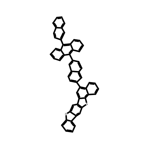 c1ccc2cc(-c3c4ccccc4c(-c4ccc5cc(-c6cc7c8cc9oc%10ccccc%10c9cc8sc7c7ccccc67)ccc5c4)c4ccccc34)ccc2c1